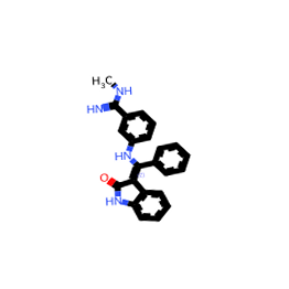 CNC(=N)c1cccc(N/C(=C2\C(=O)Nc3ccccc32)c2ccccc2)c1